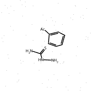 CC(=O)c1ccccc1.NNC(N)=S